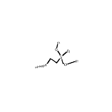 CCCCCCCCC[Si](CC)(OCC)OCC